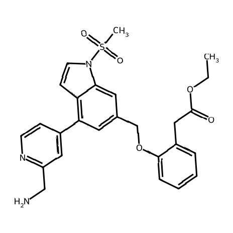 CCOC(=O)Cc1ccccc1OCc1cc(-c2ccnc(CN)c2)c2ccn(S(C)(=O)=O)c2c1